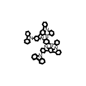 c1ccc2c(c1)B1c3cc4c(cc3-n3c5ccc(-n6c7ccccc7c7ccccc76)cc5c5cc6c7ccccc7n-2c6c1c53)-n1c2ccc(-n3c5ccccc5c5ccccc53)cc2c2cc3c5ccccc5n5c3c(c21)B4c1ccccc1-5